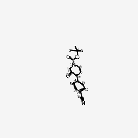 CC(C)(C)OC(=O)N1CCC(c2ccc(C#N)cc2)C(=O)C1